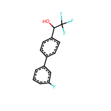 OC(c1ccc(-c2cccc(F)c2)cc1)C(F)(F)F